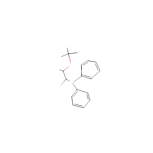 CC(OC(C)(C)C)C(Br)[SiH](c1ccccc1)c1ccccc1